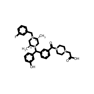 C[C@@H]1CN(C(c2cccc(O)c2)c2cccc(C(=O)N3CCN(CC(=O)O)CC3)c2)[C@@H](C)CN1Cc1cccc(F)c1